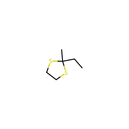 CCC1(C)SCCS1